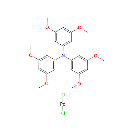 COc1cc(OC)cc(N(c2cc(OC)cc(OC)c2)c2cc(OC)cc(OC)c2)c1.[Cl][Pd][Cl]